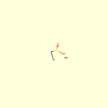 CCCS(=O)O.[KH]